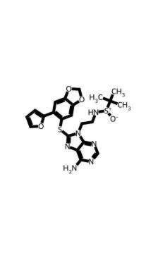 CC(C)(C)[S+]([O-])NCCn1c(Sc2cc3c(cc2-c2ccco2)OCO3)nc2c(N)ncnc21